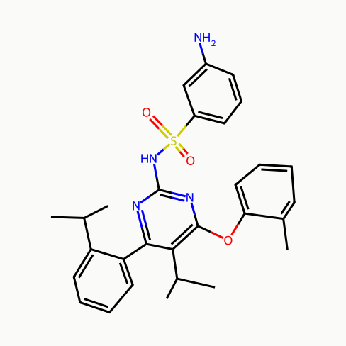 Cc1ccccc1Oc1nc(NS(=O)(=O)c2cccc(N)c2)nc(-c2ccccc2C(C)C)c1C(C)C